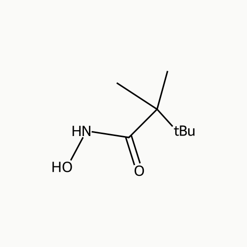 CC(C)(C)C(C)(C)C(=O)NO